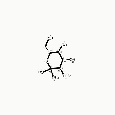 CCCC[C@@]1(O)O[C@H](CO)[C@@H](O)[C@H](O)[C@H]1NC(C)=O